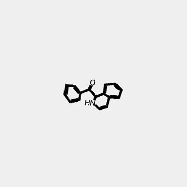 O=C(c1ccccc1)C1NC=Cc2ccccc21